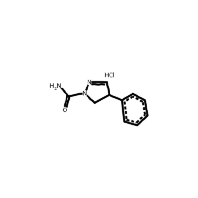 Cl.NC(=O)N1CC(c2ccccc2)C=N1